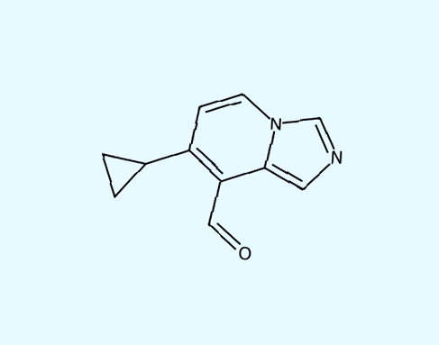 O=Cc1c(C2CC2)ccn2cncc12